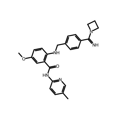 COc1ccc(NCc2ccc(C(=N)N3CCC3)cc2)c(C(=O)Nc2ccc(C)cn2)c1